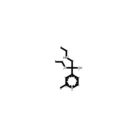 CCNCC(O)(OCC)c1ccnc(C)c1